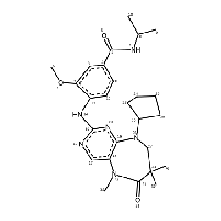 COc1cc(C(=O)NC(C)C)ccc1Nc1ncc2c(n1)N(C1CCCC1)CC(C)(C)C(=O)N2C